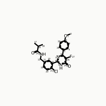 COc1ccc(-c2nc(-c3cc(CNC(=O)C(C)C)ccc3Cl)[nH]c(=O)c2F)cc1